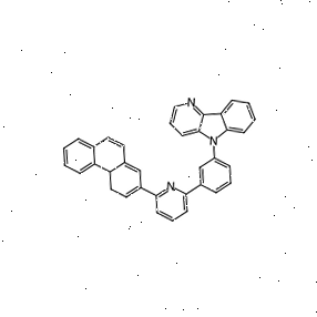 C1=Cc2ccccc2C2CC=C(c3cccc(-c4cccc(-n5c6ccccc6c6ncccc65)c4)n3)C=C12